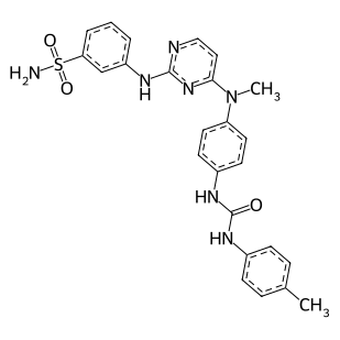 Cc1ccc(NC(=O)Nc2ccc(N(C)c3ccnc(Nc4cccc(S(N)(=O)=O)c4)n3)cc2)cc1